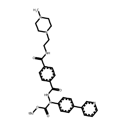 CN1CCN(CCNC(=O)c2ccc(C(=O)NN(C(=O)OC(C)(C)C)c3ccc(-c4cccnc4)cc3)cc2)CC1